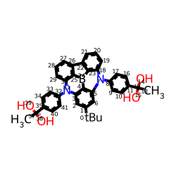 CC(C)(C)c1cc2c3c(c1)N(c1ccc(C(C)(O)O)cc1)c1cccc4c1B3c1c-4cccc1N2c1ccc(C(C)(O)O)cc1